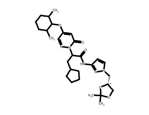 CC1CCCC(C)C1Oc1cnn(C(CC2CCCC2)C(=O)Nc2ccn(C[C@@H]3COC(C)(C)O3)n2)c(=O)c1